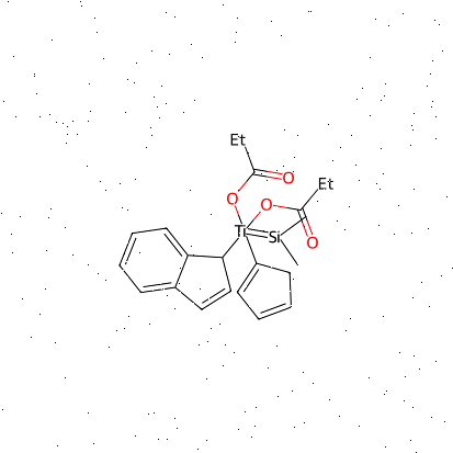 CCC(=O)[O][Ti]([O]C(=O)CC)([C]1=CC=CC1)([CH]1C=Cc2ccccc21)=[Si](C)C